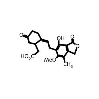 COc1c(C)c2c(c(O)c1CC=C1CCC(=O)CC1CC(=O)O)C(=O)OC2